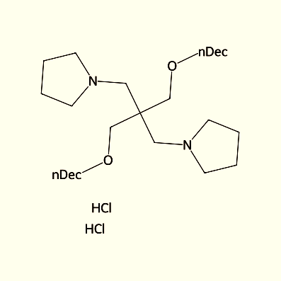 CCCCCCCCCCOCC(COCCCCCCCCCC)(CN1CCCC1)CN1CCCC1.Cl.Cl